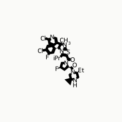 CC[C@@H]1CNC2(CC2)CN1C(=O)[C@H]1C[C@@H](F)CN1C(=O)C1=C(C(C)C)N2C(=N[C@@](C)(c3ccc(Cl)nc3)[C@H]2c2ccc(Cl)c(F)c2)S1